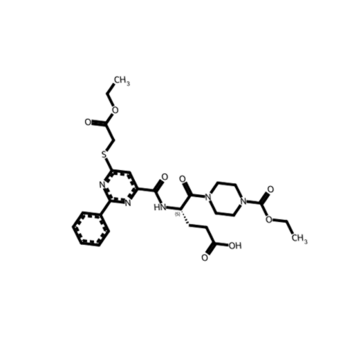 CCOC(=O)CSc1cc(C(=O)N[C@@H](CCC(=O)O)C(=O)N2CCN(C(=O)OCC)CC2)nc(-c2ccccc2)n1